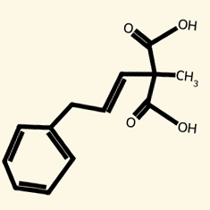 CC(C=CCc1ccccc1)(C(=O)O)C(=O)O